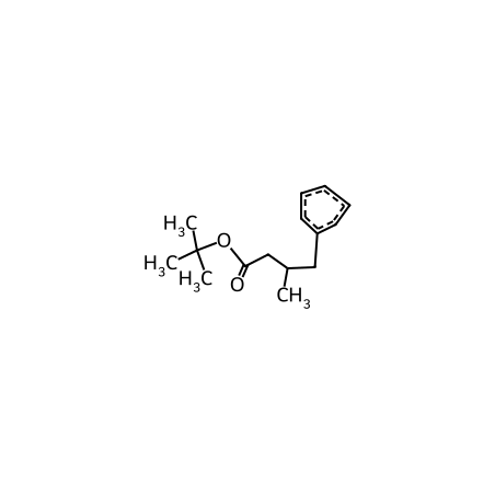 CC(CC(=O)OC(C)(C)C)Cc1ccccc1